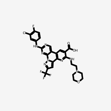 O=C(O)c1cc2c3cnc(Nc4ccc(F)c(Cl)c4)nc3n3nc(C(F)(F)F)cc3c2nc1NCCN1CCOCC1